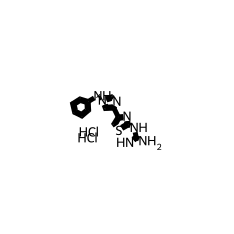 Cl.Cl.N=C(N)Nc1nc(-c2cn(Nc3ccccc3)cn2)cs1